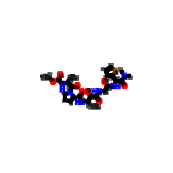 CCCCC(NC(=O)[C@@H]1CCCN1C(=O)C(NC(=O)OC(C)(C)C)C(C)(C)C)C(=O)C(=O)NCC(=O)N[C@H](C(=O)N(C)C)c1cccs1